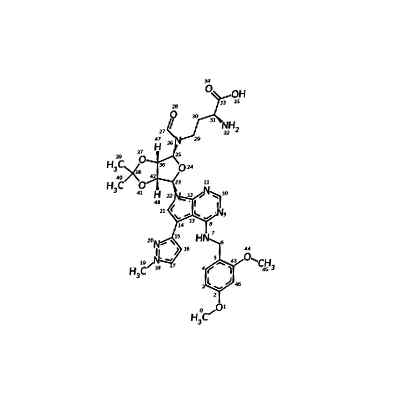 COc1ccc(CNc2ncnc3c2c(-c2ccn(C)n2)cn3[C@@H]2O[C@H](N(C=O)CC[C@H](N)C(=O)O)[C@H]3OC(C)(C)O[C@H]32)c(OC)c1